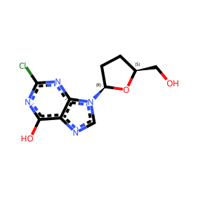 OC[C@@H]1CC[C@H](n2cnc3c(O)nc(Cl)nc32)O1